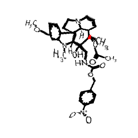 CC[C@]12C=CCN3CC[C@@]4(c5ccc(OC)cc5N(C)[C@H]4C(O)(CNC(=O)OCc4ccc([N+](=O)[O-])cc4)[C@@H]1OC(C)=O)[C@@H]32